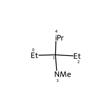 CCC(CC)(NC)C(C)C